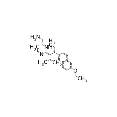 C=C(C)C(/C(=C\C)c1ccc2cc(OCC)ccc2c1)=C(\N=C/C)NCCN